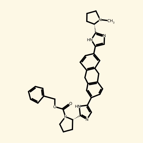 CN1CCC[C@H]1c1ncc(-c2ccc3c(c2)Cc2ccc(-c4cnc([C@@H]5CCCN5C(=O)OCc5ccccc5)[nH]4)cc2C3)[nH]1